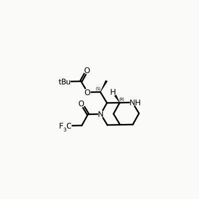 C[C@H](OC(=O)C(C)(C)C)C1[C@H]2CC(CCN2)CN1C(=O)CC(F)(F)F